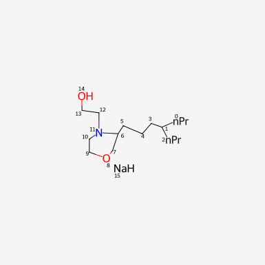 CCCC(CCC)CCCC1COCCN1CCO.[NaH]